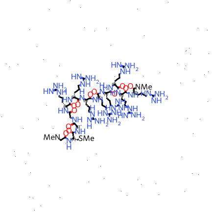 CNCC(=O)N[C@@H](CSC)C(=O)N[C@@H](C)C(=O)NCC(=O)N[C@H](CCCNC(=N)N)C(=O)N[C@H](CCCNC(=N)N)C(=O)N[C@H](CCCNC(=N)N)C(=O)N[C@H](CCCNC(=N)N)C(=O)N[C@H](CCCNC(=N)N)C(=O)N[C@H](CCCNC(=N)N)C(=O)N[C@H](CCCNC(=N)N)C(=O)N[C@H](CCCNC(=N)N)C(=O)NC